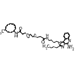 CCCCc1nc2c(N)nc3ccccc3c2n1CCCCNC(=O)CCOCCOCCC(=O)Nc1ccccccc(C)cc1